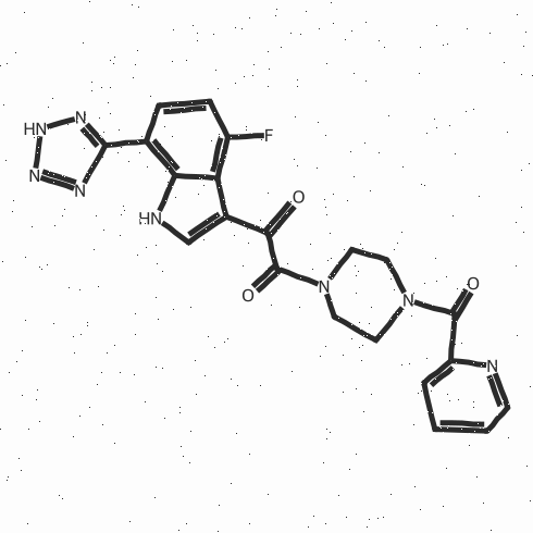 O=C(C(=O)N1CCN(C(=O)c2ccccn2)CC1)c1c[nH]c2c(-c3nn[nH]n3)ccc(F)c12